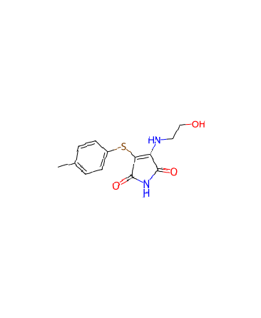 Cc1ccc(SC2=C(NCCO)C(=O)NC2=O)cc1